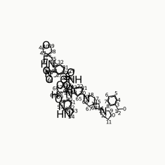 CC(C)c1ccccc1[C@@H]1CCCN1C1CC2(CCN(c3ccc(C(=O)NS(=O)(=O)c4ccc(NCC5(F)CCOCC5)c([N+](=O)[O-])c4)c(N4c5cc6cc[nH]c6nc5O[C@H]5COC[C@@H]54)c3)CC2)C1